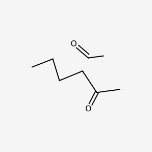 CC=O.CCCCC(C)=O